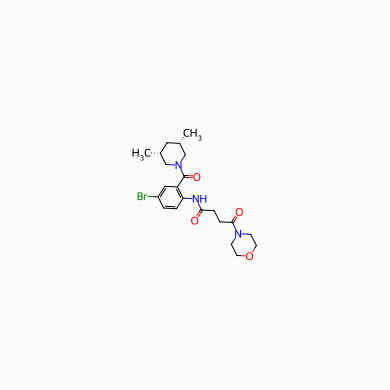 C[C@@H]1C[C@H](C)CN(C(=O)c2cc(Br)ccc2NC(=O)CCC(=O)N2CCOCC2)C1